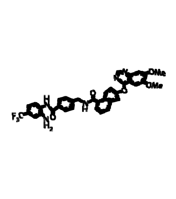 COc1cc2ncnc(Oc3ccc4c(C(=O)NCc5ccc(C(=O)Nc6ccc(C(F)(F)F)cc6N)cc5)cccc4c3)c2cc1OC